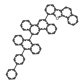 c1ccc(-c2ccc(-c3c4ccccc4c(-c4cc5c6ccccc6c(-c6cccc7c6oc6c8ccccc8ccc76)cc5c5ccccc45)c4ccccc34)cc2)cc1